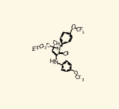 CCOC(=O)C1(C)C=C(Nc2ccc(OC(F)(F)F)cc2)C(=O)N1c1ccc(OC(F)(F)F)cc1